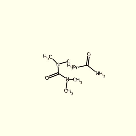 CC(C)C(N)=O.CN(C)C(=O)N(C)C